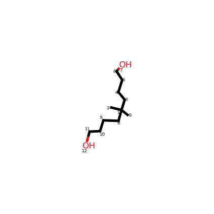 CC(C)(CCCCO)CCCCO